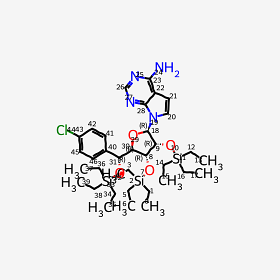 CC[Si](CC)(CC)O[C@H]1[C@@H](O[Si](CC)(CC)CC)[C@H](n2ccc3c(N)ncnc32)O[C@@H]1[C@H](O[Si](CC)(CC)CC)c1ccc(Cl)cc1